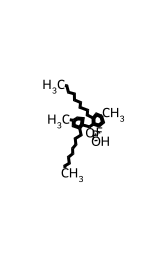 CCCCCCCCCc1cc(C)ccc1C(OP(O)F)c1ccc(C)cc1CCCCCCCCC